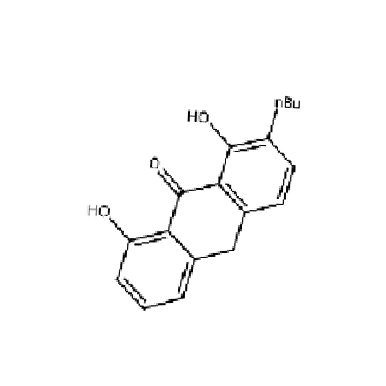 CCCCc1ccc2c(c1O)C(=O)c1c(O)cccc1C2